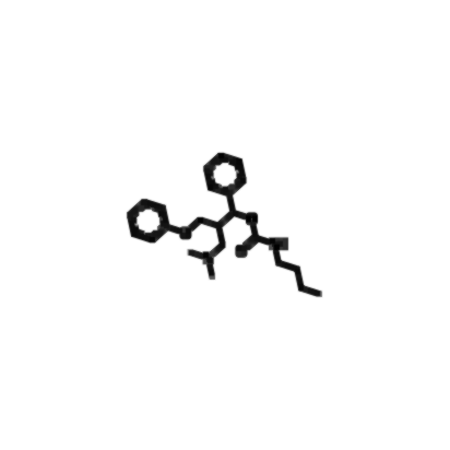 CCCCNC(=O)OC(c1ccccc1)C(COc1ccccc1)CN(C)C